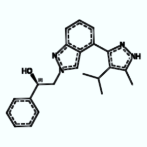 Cc1[nH]nc(-c2cccc3nn(C[C@H](O)c4ccccc4)cc23)c1C(C)C